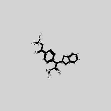 O=C(C[N+](=O)[O-])c1ccc(C(C(=O)NCl)C2Cc3ccccc3C2)cc1